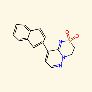 O=S1(=O)CCN2N=CC=C(c3ccc4ccccc4c3)C2=N1